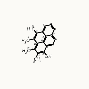 Cc1c(S)c2ccc3cccc4c(C)c(C)c(c1C)c2c34